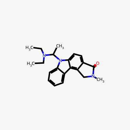 CCN(CC)C(C)n1c2ccccc2c2c3c(ccc21)C(=O)N(C)C3